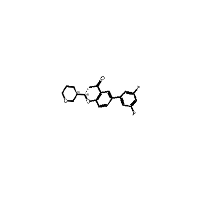 O=C1C[C@@H]([C@@H]2CCCOC2)Oc2ccc(-c3cc(F)cc(F)c3)cc21